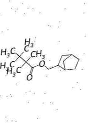 CC(C)(C)C(C)(C)C(=O)OCC1CC2CCC1C2